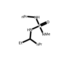 CCCNP(=O)(NC)NC(CC)CCC